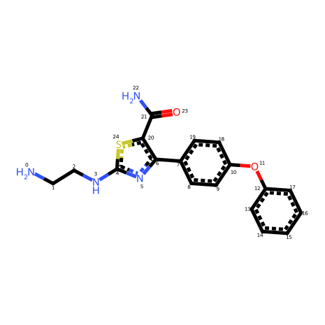 NCCNc1nc(-c2ccc(Oc3ccccc3)cc2)c(C(N)=O)s1